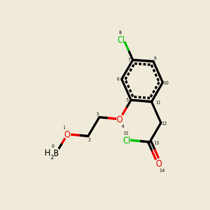 BOCCOc1cc(Cl)ccc1CC(=O)Cl